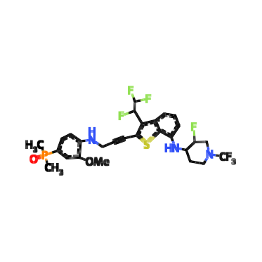 COc1cc(P(C)(C)=O)ccc1NCC#Cc1sc2c(NC3CCN(C(F)(F)F)CC3F)cccc2c1C(F)C(F)F